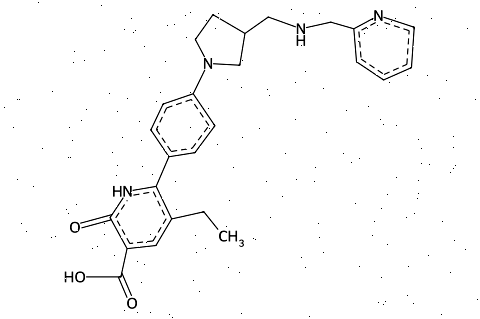 CCc1cc(C(=O)O)c(=O)[nH]c1-c1ccc(N2CCC(CNCc3ccccn3)C2)cc1